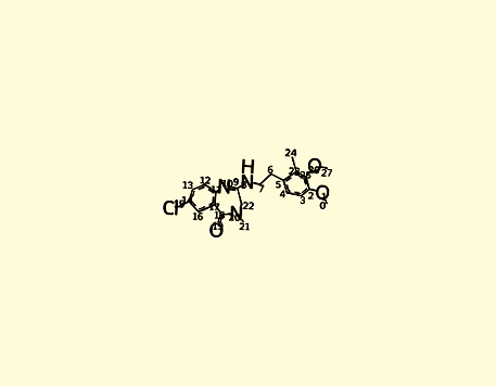 COc1ccc(CCNC2=Nc3ccc(Cl)cc3C(=O)N(C)C2)c(C)c1OC